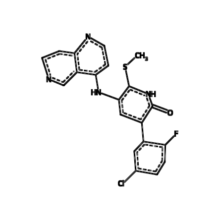 CSc1[nH]c(=O)c(-c2cc(Cl)ccc2F)cc1Nc1ccnc2ccncc12